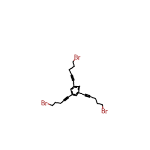 BrCCCC#Cc1cc(C#CCCCBr)cc(C#CCCCBr)c1